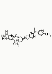 C=C(c1ccc2c(c1)NNN2)N1CC[C@H](N2Cc3cnc(Nc4ccc(C)nc4)nc3C2)C[C@H]1C